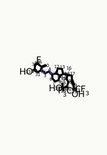 C=C1/C(=C\C=C2/CCC[C@@]3(C)C2CCC3[C@@](C)(CC#CC(O)(C(F)(F)F)C(F)(F)F)CCCC(C)(C)O)C[C@@H](O)C[C@@H]1F